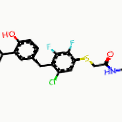 CNC(=O)CSc1cc(Cl)c(Cc2ccc(O)c(C(C)C)c2)c(F)c1F